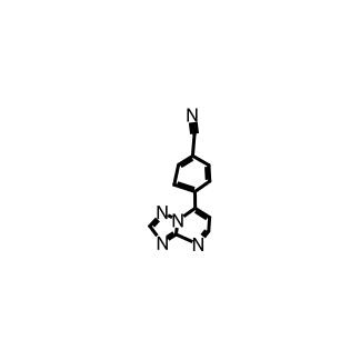 N#Cc1ccc(-c2ccnc3ncnn23)cc1